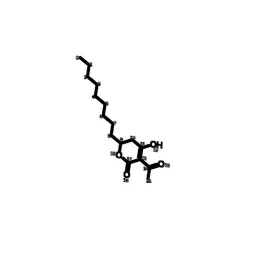 CCCCCCCCCC1CC(O)=C(C(C)=O)C(=O)O1